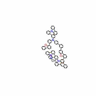 Cc1ccccc1-c1cc(N(c2cccc(-c3cccc4c3oc3ccc(-c5cccc(-c6ccc(N(c7cccc(-c8ccccc8-n8c9ccccc9c9ccccc98)c7)c7cccc(-c8cccc9c8oc8ccccc89)c7)cc6)c5)cc34)c2)c2ccccc2-c2ccc3ccccc3c2)ccc1-c1cccc2c1[nH]c1ccccc12